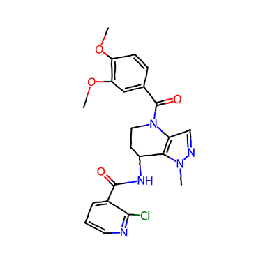 COc1ccc(C(=O)N2CCC(NC(=O)c3cccnc3Cl)c3c2cnn3C)cc1OC